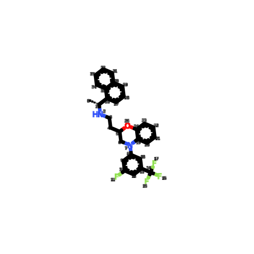 C[C@@H](NCCC1CN(c2cc(F)cc(C(F)(F)F)c2)c2ccccc2O1)c1cccc2ccccc12